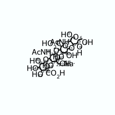 CC(=O)NC1C(O)OC(CO)C(O)C1OC1OC(C(=O)O)C(OC2OC(CO)C(O)C(OC3OC(C(=O)O)C(O)C(O)C3O)C2NC(C)=O)C(O)C1O.[Na]